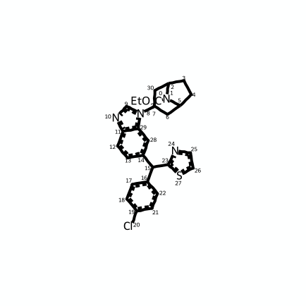 CCOC(=O)N1C2CCC1CC(n1cnc3ccc(C(c4ccc(Cl)cc4)c4nccs4)cc31)C2